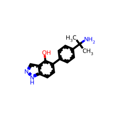 CC(C)(N)c1ccc(-c2ccc3[nH]ncc3c2O)cc1